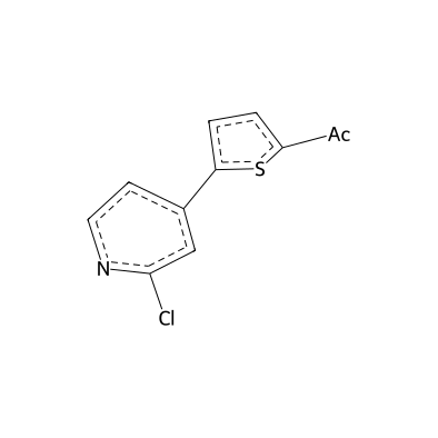 CC(=O)c1ccc(-c2ccnc(Cl)c2)s1